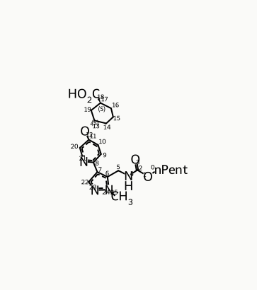 CCCCCOC(=O)NCc1c(-c2ccc(O[C@H]3CCC[C@H](C(=O)O)C3)cn2)cnn1C